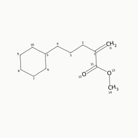 C=C(CCCC1CCCCC1)C(=O)OC